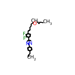 C=CCc1ccc(-c2ncc(-c3ccc(C=CCCCC(C)OCCCCC)c(F)c3F)cn2)cc1